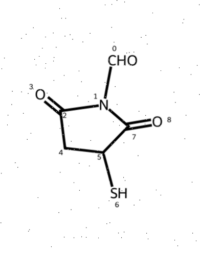 O=CN1C(=O)CC(S)C1=O